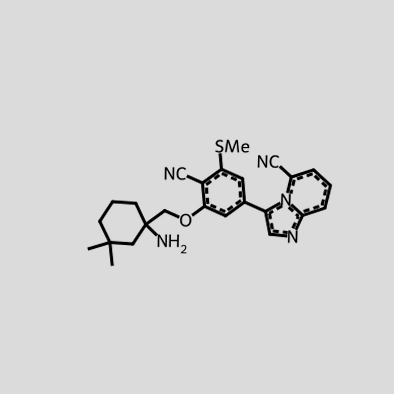 CSc1cc(-c2cnc3cccc(C#N)n23)cc(OCC2(N)CCCC(C)(C)C2)c1C#N